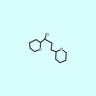 CCC(C[CH]C1CCCCO1)C1CCCCO1